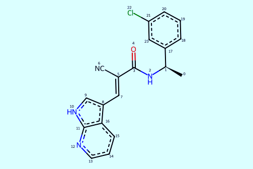 C[C@@H](NC(=O)/C(C#N)=C/c1c[nH]c2ncccc12)c1cccc(Cl)c1